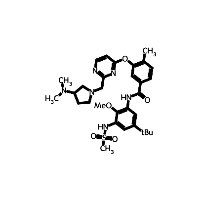 COc1c(NC(=O)c2ccc(C)c(Oc3ccnc(CN4CCC(N(C)C)C4)n3)c2)cc(C(C)(C)C)cc1NS(C)(=O)=O